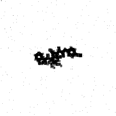 CC1(C)S[C@@H]2[C@H](NC(=O)Cc3ccc(O)cc3)C(=O)N2[C@@]1(NC(=O)c1cnccc1O)C(=O)O